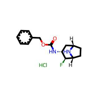 Cl.O=C(N[C@@H]1C[C@@H]2CC[C@@H](N2)[C@H]1F)OCc1ccccc1